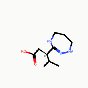 CC(C)[C@@H](CC(=O)O)C1=NNCCCN1